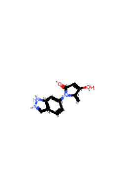 CC1C(O)=[C]C(=O)N1c1ccc2cn[nH]c2c1